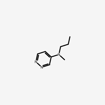 CCCN(C)c1[c]nncc1